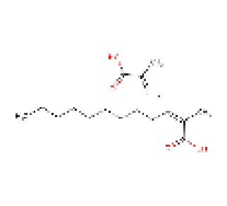 C=C(C)C(=O)O.CCCCCCCCCC=C(C)C(=O)O